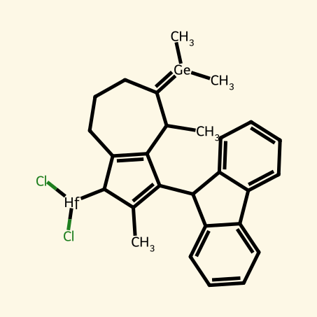 CC1=C(C2c3ccccc3-c3ccccc32)C2=C(CCC[C](=[Ge]([CH3])[CH3])C2C)[CH]1[Hf]([Cl])[Cl]